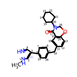 CN/C=C(\C=N)c1ccc(Cc2ccc3c(c2)C(=O)N(C2CCCCC2)CO3)cc1